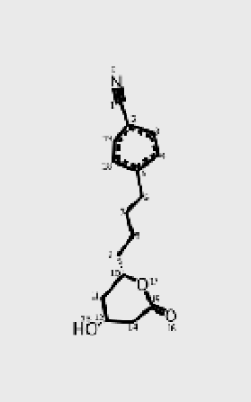 N#Cc1ccc(CCCC[C@H]2C[C@@H](O)CC(=O)O2)cc1